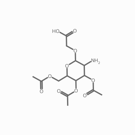 CC(=O)OCC1OC(OCC(=O)O)C(N)C(OC(C)=O)C1OC(C)=O